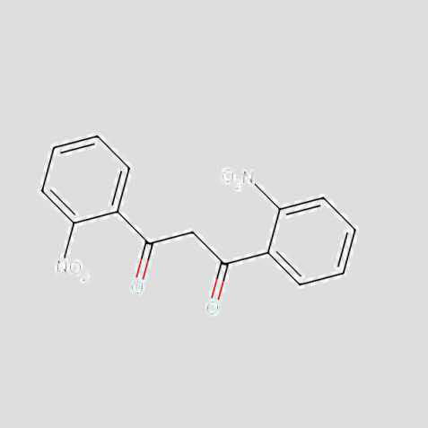 O=C(CC(=O)c1ccccc1[N+](=O)[O-])c1ccccc1[N+](=O)[O-]